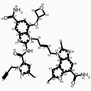 C#CCn1nc(C)cc1C(=O)Nc1nc2cc(C(N)=O)cc(OC3COC3)c2n1C/C=C/Cn1c(C)nc2cc(C(N)=O)c3oc(C)cc3c21